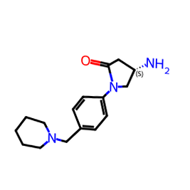 N[C@H]1CC(=O)N(c2ccc(CN3CCCCC3)cc2)C1